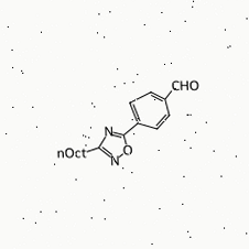 CCCCCCCCc1noc(-c2ccc(C=O)cc2)n1